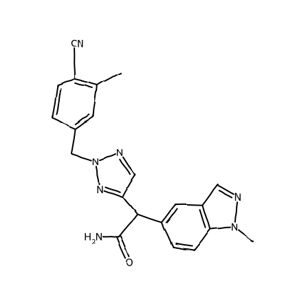 Cc1cc(Cn2ncc(C(C(N)=O)c3ccc4c(cnn4C)c3)n2)ccc1C#N